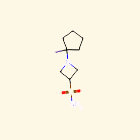 NS(=O)(=O)C1CN(C2(I)CCCC2)C1